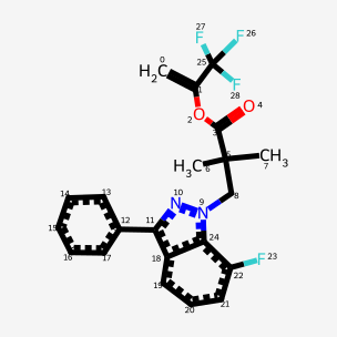 C=C(OC(=O)C(C)(C)Cn1nc(-c2ccccc2)c2cccc(F)c21)C(F)(F)F